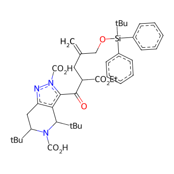 C=C(CO[Si](c1ccccc1)(c1ccccc1)C(C)(C)C)CC(C(=O)OCC)C(=O)c1c2c(nn1C(=O)O)CC(C(C)(C)C)N(C(=O)O)C2C(C)(C)C